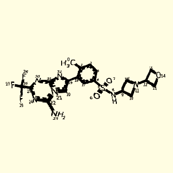 Cc1ccc(S(=O)(=O)NC2CN(C3COC3)C2)cc1-c1cn2c(N)nc(C(F)(F)F)nc2n1